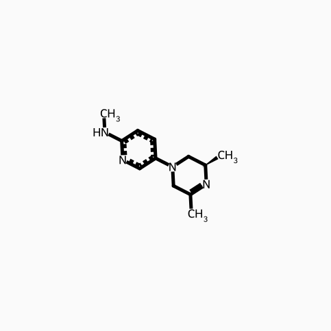 CNc1ccc(N2CC(C)=N[C@H](C)C2)cn1